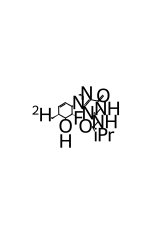 [2H]C[C@H]1C=C[C@@H](n2cnc3c(=O)[nH]c(NC(=O)C(C)C)nc32)[C@H](F)[C@@H]1O